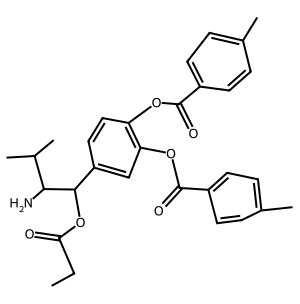 CCC(=O)OC(c1ccc(OC(=O)c2ccc(C)cc2)c(OC(=O)c2ccc(C)cc2)c1)C(N)C(C)C